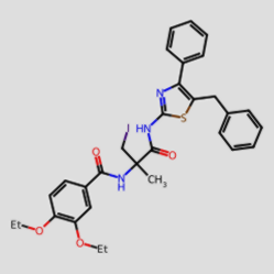 CCOc1ccc(C(=O)NC(C)(CI)C(=O)Nc2nc(-c3ccccc3)c(Cc3ccccc3)s2)cc1OCC